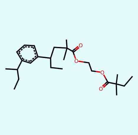 CCC(C)c1cccc(C(CC)CC(C)(C)C(=O)OCCOC(=O)C(C)(C)CC)c1